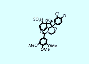 COc1cc(C(=O)N2CCOC(c3ccc(Cl)c(Cl)c3)(C(C)[C@]3([N+](=O)[O-])C=CC=CC3S(=O)(=O)O)C2)cc(OC)c1OC